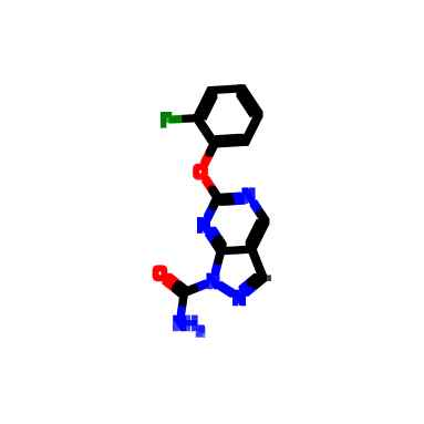 NC(=O)n1n[c]c2cnc(Oc3ccccc3F)nc21